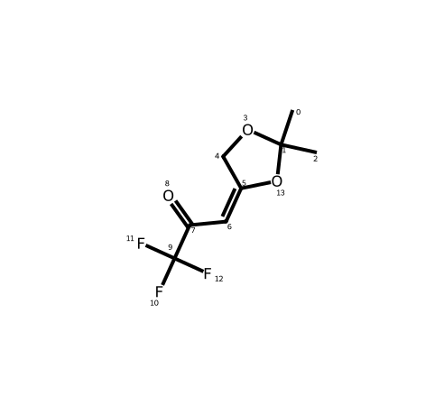 CC1(C)OC/C(=C\C(=O)C(F)(F)F)O1